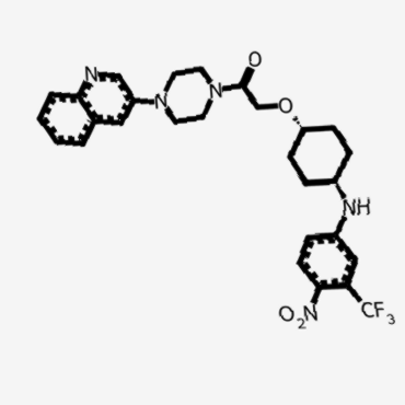 O=C(CO[C@H]1CC[C@H](Nc2ccc([N+](=O)[O-])c(C(F)(F)F)c2)CC1)N1CCN(c2cnc3ccccc3c2)CC1